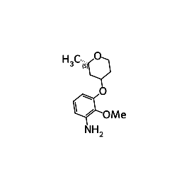 COc1c(N)cccc1OC1CCO[C@@H](C)C1